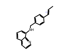 C/C=C/c1ccc(CNc2cccc3cccnc23)cc1